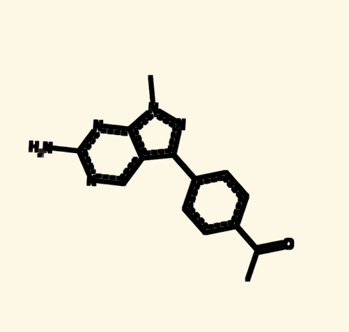 CC(=O)c1ccc(-c2nn(C)c3nc(N)ncc23)cc1